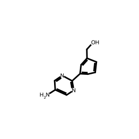 Nc1cnc(-c2cccc(CO)c2)nc1